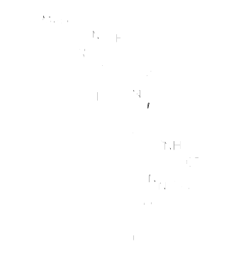 COc1cnc(-c2cc3c(Cl)cn(C[C@@H]4CCC[C@H](Nc5cnn(COCC[Si](C)(C)C)c(=O)c5C(F)(F)F)C4)c(=O)c3cc2F)nc1